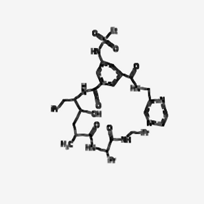 CCS(=O)(=O)Nc1cc(C(=O)NCc2cnccn2)cc(C(=O)NC(CC(C)C)C(O)CC(C)C(=O)NC(C(=O)NCC(C)C)C(C)C)c1